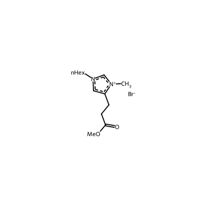 CCCCCCn1cc(CCC(=O)OC)[n+](C)c1.[Br-]